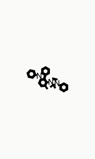 Cc1ccc2c(c1N1C=CN(c3ccccc3)C1(C)C)c1ccccc1n2-c1ccccc1